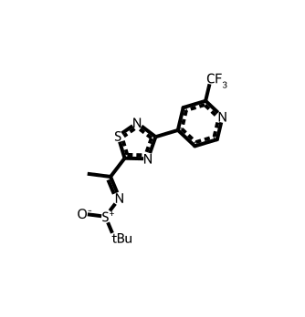 CC(=N[S+]([O-])C(C)(C)C)c1nc(-c2ccnc(C(F)(F)F)c2)ns1